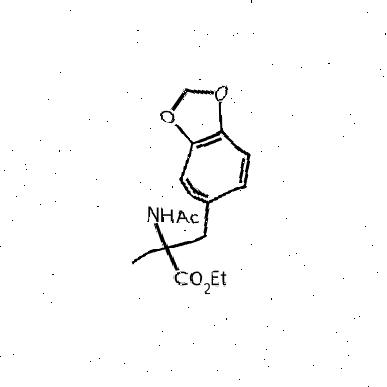 CCOC(=O)C(C)(Cc1ccc2c(c1)OCO2)NC(C)=O